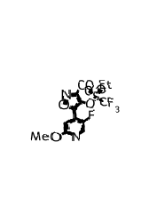 CCOC(=O)c1noc(-c2cc(OC)ncc2F)c1OS(=O)(=O)C(F)(F)F